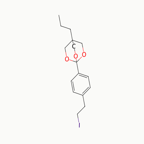 CCCC12COC(c3ccc(CCI)cc3)(OC1)OC2